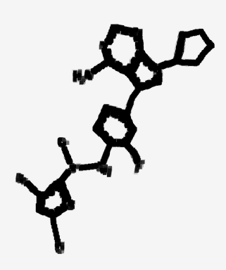 Nc1ncnc2c1c(-c1ccc(N[S+]([O-])c3sc(Cl)cc3Br)c(F)c1)cn2C1CCCC1